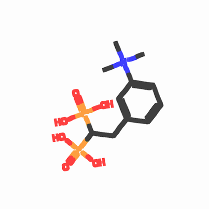 C[N+](C)(C)c1cccc(CC(P(=O)(O)O)P(=O)(O)O)c1